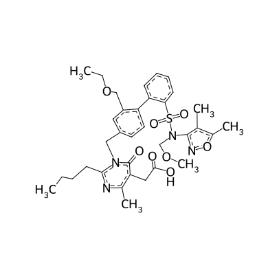 CCCCc1nc(C)c(CC(=O)O)c(=O)n1Cc1ccc(-c2ccccc2S(=O)(=O)N(COC)c2noc(C)c2C)c(COCC)c1